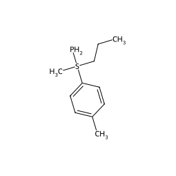 CCCS(C)(P)c1ccc(C)cc1